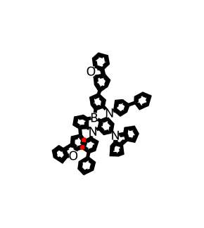 c1ccc(-c2ccc(N3c4cc(-c5ccc6c(c5)oc5ccccc56)ccc4B4c5cccc(-c6ccc7oc8ccccc8c7c6)c5N(c5ccc(-c6ccccc6)cc5)c5cc(-n6c7ccccc7c7ccccc76)cc3c54)cc2)cc1